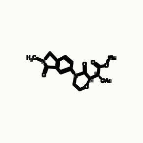 CC(=O)O[C@@H](C(=O)OC(C)(C)C)[C@H]1OCCN(c2ccc3c(c2)C(=O)N(C)C3)C1=O